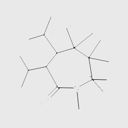 CC(C)C1C(=O)N(C)C(C)(C)C(C)(C)C(C)(C)C1C(C)C